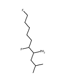 CC(C)CC(P)C(F)CCCCCF